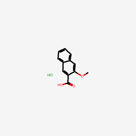 COc1cc2ccccc2cc1C(=O)O.Cl